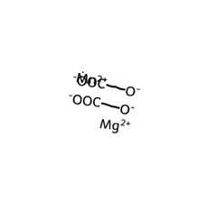 O=C([O-])[O-].O=C([O-])[O-].[Mg+2].[Mn+2]